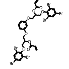 C=CC(=O)OC(COc1cccc(OCC(COc2c(Br)cc(Br)cc2Br)OC(=O)C=C)c1)COc1c(Br)cc(Br)cc1Br